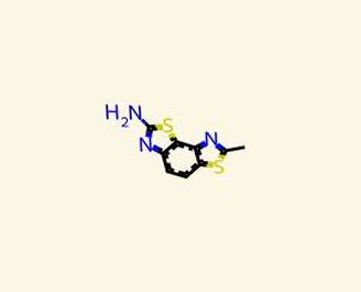 Cc1nc2c(ccc3nc(N)sc32)s1